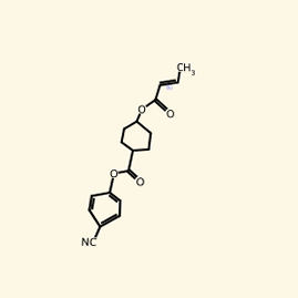 C/C=C/C(=O)OC1CCC(C(=O)Oc2ccc(C#N)cc2)CC1